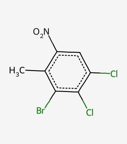 Cc1c([N+](=O)[O-])cc(Cl)c(Cl)c1Br